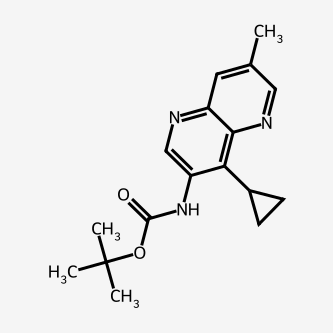 Cc1cnc2c(C3CC3)c(NC(=O)OC(C)(C)C)cnc2c1